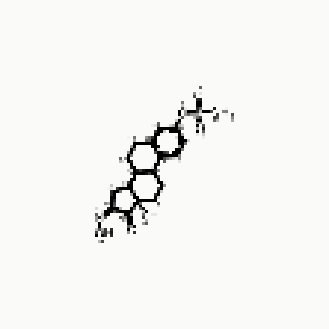 C[C@]12CCC3c4ccc(OS(N)(=O)=O)cc4CCC3C1C/C(=N/O)C2=O